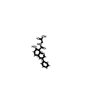 O=C(O)CNC(=O)c1c(O)ccc2cc(-c3ccccc3)cnc12